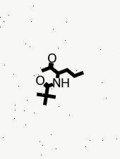 CCCC(NC(=O)C(C)(C)C)C(C)=O